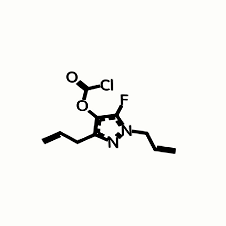 C=CCc1nn(CC=C)c(F)c1OC(=O)Cl